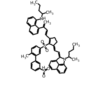 C=C(/C=C/C1=C(S(=O)(=O)c2ccc(C)c(-c3cccc([SH](=O)=O)c3)c2)C(=C/C=c2\c3cccc4cccc(c43)n2C(C)CCC)/CC1)c1cccc2cccc(NC(C)CCC)c12